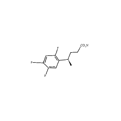 C[C@H](CCC(=O)O)c1cc(F)c(F)cc1F